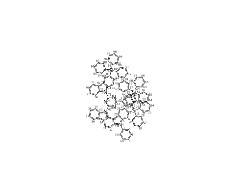 c1ccc(-n2c3cc([Si](c4ccccc4)(c4ccccc4)c4ccccc4)ccc3c3c2ccc2c4ccccc4n(-c4nc(-c5cccc([Si](c6ccccc6)(c6ccccc6)c6ccccc6)c5)nc(-n5c6ccccc6c6cc([Si](c7ccccc7)(c7ccccc7)c7ccccc7)ccc65)n4)c23)cc1